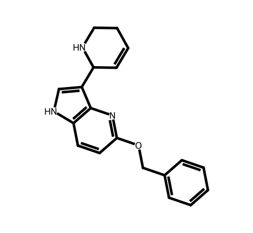 C1=CC(c2c[nH]c3ccc(OCc4ccccc4)nc23)NCC1